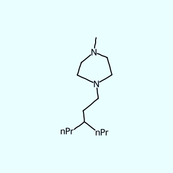 CCCC(CCC)CCN1CCN(C)CC1